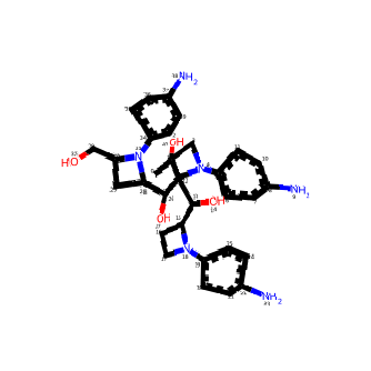 CC1(O)CN(c2ccc(N)cc2)C1(C(O)C1CCN1c1ccc(N)cc1)C(O)C1CC(CO)N1c1ccc(N)cc1